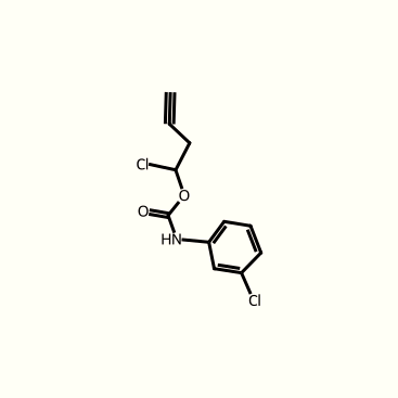 C#CCC(Cl)OC(=O)Nc1cccc(Cl)c1